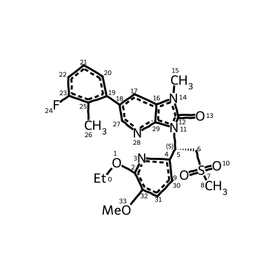 CCOc1nc([C@@H](CS(C)(=O)=O)n2c(=O)n(C)c3cc(-c4cccc(F)c4C)cnc32)ccc1OC